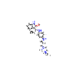 Cc1cccc2c1C(=CNc1ccc(NCCCN3CCN(C)CC3)cc1)C(=O)N2